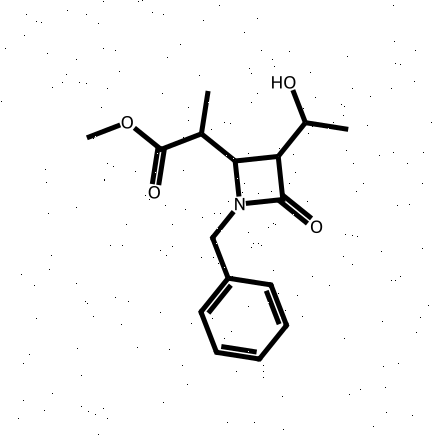 COC(=O)C(C)C1C(C(C)O)C(=O)N1Cc1ccccc1